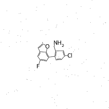 NCc1cc(Cl)ccc1-c1cc(F)cc2c[c]oc12